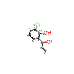 C=CC(=O)c1cccc(Cl)c1O